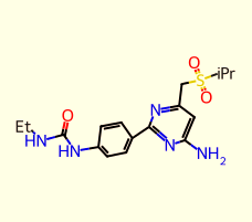 CCNC(=O)Nc1ccc(-c2nc(N)cc(CS(=O)(=O)C(C)C)n2)cc1